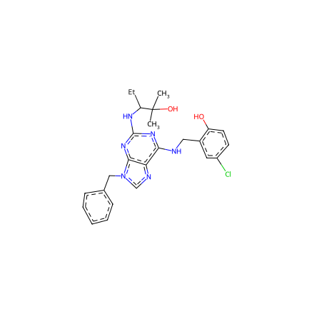 CCC(Nc1nc(NCc2cc(Cl)ccc2O)c2ncn(Cc3ccccc3)c2n1)C(C)(C)O